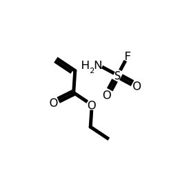 C=CC(=O)OCC.NS(=O)(=O)F